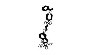 CC(c1ccccc1)N1CCC(S(=O)(=O)CCCOc2ccc3nc4[nH]c(=O)[nH]c4cc3c2)CC1